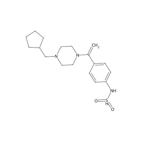 C=C(c1ccc(N[SH](=O)=O)cc1)N1CCN(CC2CCCC2)CC1